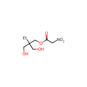 CCC(CO)(CO)COC(=O)C[N+](=O)[O-]